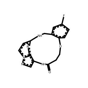 O=C1CCOc2ccc(F)cc2CNc2ccn3ncc(c3n2)N1